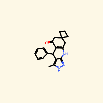 Cc1[nH]nc2c1C(c1ccccc1)C1=C(CC3(CCC3)CC1=O)N2